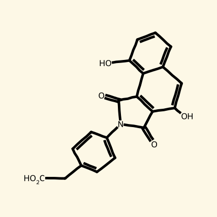 O=C(O)Cc1ccc(N2C(=O)c3c(O)cc4cccc(O)c4c3C2=O)cc1